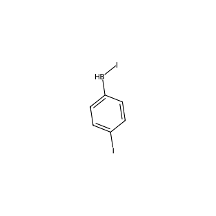 IBc1ccc(I)cc1